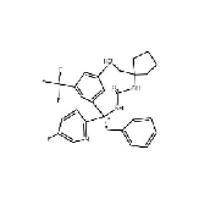 O=C(NC1(CO)CCCC1)N[C@](Cc1ccccc1)(c1cc(F)cc(C(F)(F)F)c1)c1ccc(I)cn1